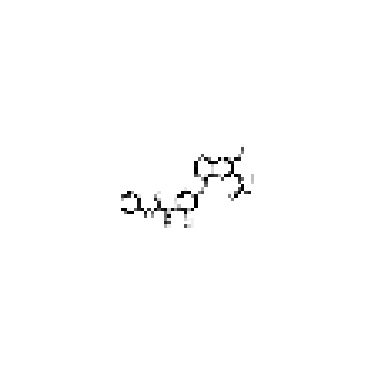 COc1cc2nccc(Oc3ccc(NC(=O)Oc4ccccc4)c(Cl)c3)c2cc1NC(C)=O